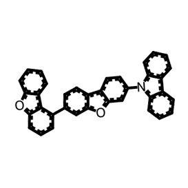 c1ccc2c(c1)oc1cccc(-c3ccc4c(c3)oc3cc(-n5c6ccccc6c6ccccc65)ccc34)c12